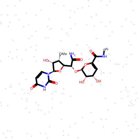 CCCNC(=O)C1=C[C@H](O)[C@H](O)[C@@H](O[C@@H](C(N)=O)[C@H]2O[C@@H](n3ccc(=O)[nH]c3=O)[C@H](O)[C@@H]2OC)O1